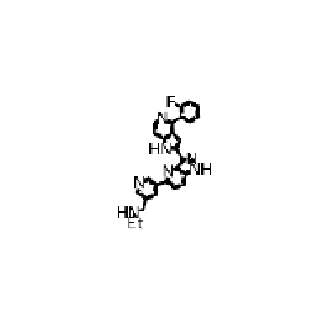 CCNCc1cncc(-c2ccc3[nH]nc(-c4cc5c(-c6ccccc6F)nccc5[nH]4)c3n2)c1